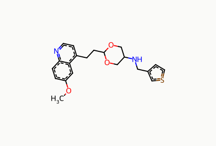 COc1ccc2nccc(CCC3OCC(NCc4ccsc4)CO3)c2c1